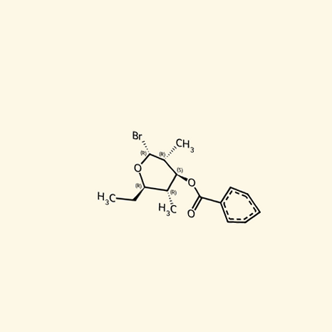 CC[C@H]1O[C@H](Br)[C@H](C)[C@@H](OC(=O)c2ccccc2)[C@@H]1C